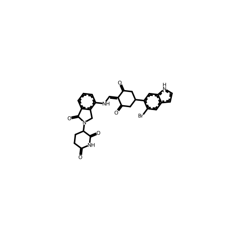 O=C1CCC(N2Cc3c(NC=C4C(=O)CC(c5cc6[nH]ccc6cc5Br)CC4=O)cccc3C2=O)C(=O)N1